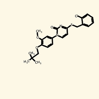 COc1cc(-n2ccc(SCc3ccccc3Cl)nc2=O)ccc1OCC(C)(C)C